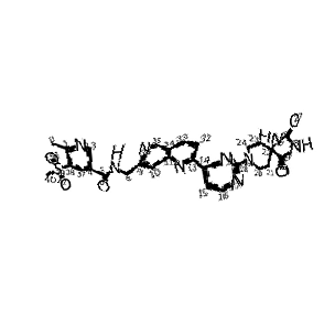 Cc1ncc(C(=O)NCc2cc3nc(-c4ccnc(N5CCC6(CC5)NC(=O)NC6=O)n4)ccc3cn2)cc1S(C)(=O)=O